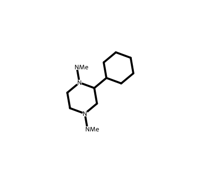 CNN1CCN(NC)C(C2CCCCC2)C1